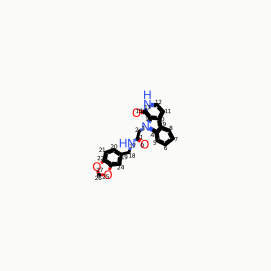 O=C(Cn1c2ccccc2c2cc[nH]c(=O)c21)NCc1ccc2c(c1)OCO2